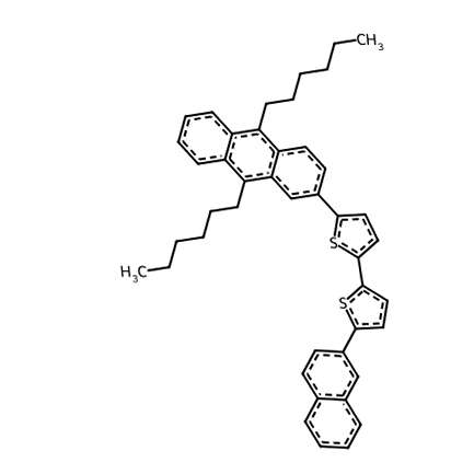 CCCCCCc1c2ccccc2c(CCCCCC)c2cc(-c3ccc(-c4ccc(-c5ccc6ccccc6c5)s4)s3)ccc12